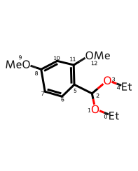 CCOC(OCC)c1ccc(OC)cc1OC